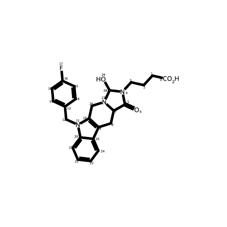 O=C(O)CCCN1C(=O)C2Cc3c(n(Cc4ccc(F)cc4)c4ccccc34)CN2C1O